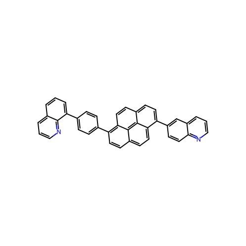 c1cnc2ccc(-c3ccc4ccc5c(-c6ccc(-c7cccc8cccnc78)cc6)ccc6ccc3c4c65)cc2c1